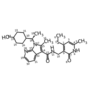 CSc1cc(C)[nH]c(=O)c1CNC(=O)c1c(C)n([C@H](C)C2CCC(O)CC2)c2ncccc12